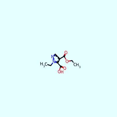 CCOC(=O)c1cnn(CC)c1C(=O)O